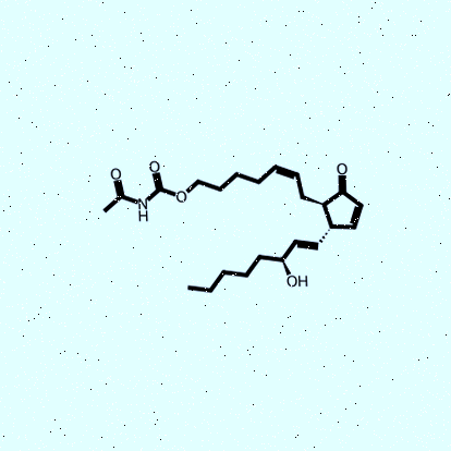 CCCCC[C@H](O)/C=C/[C@H]1C=CC(=O)[C@@H]1C/C=C\CCCCOC(=O)NC(C)=O